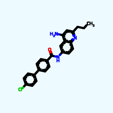 CCCc1cc(N)c2cc(NC(=O)c3ccc(-c4ccc(Cl)cc4)cc3)ccc2n1